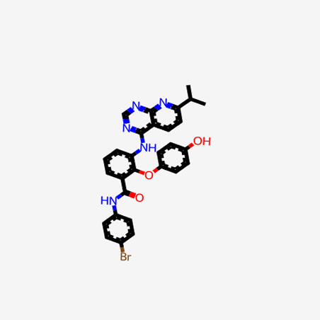 CC(C)c1ccc2c(Nc3cccc(C(=O)Nc4ccc(Br)cc4)c3Oc3ccc(O)cc3)ncnc2n1